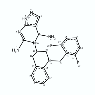 NC1=Nc2[nH]ncc2C(N)N1C1Cc2ccccc2N(Cc2c(F)cccc2F)C1